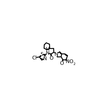 O=C(Nc1ncc(Cl)s1)C(CC1CCCCC1)N1C=C2C=C[C@H]([N+](=O)[O-])C(=O)C2C1